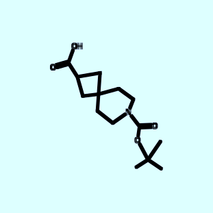 CC(C)(C)OC(=O)N1CCC2(CC1)CC(C(=O)O)C2